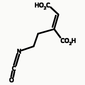 O=C=NCCC(=CC(=O)O)C(=O)O